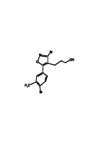 Cc1cc(-c2onc(Br)c2CCCO)ccc1Br